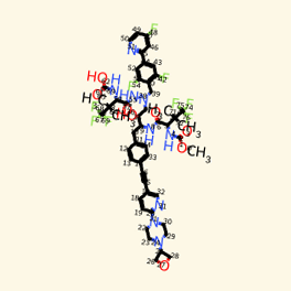 COC(=O)NC(C(=O)NC(Cc1ccc(C#Cc2ccc(N3CCN(C4COC4)CC3)nc2)cc1)C(O)CN(Cc1c(F)cc(-c2cc(F)ccn2)cc1F)NC(=O)C(NC(=O)O)C(C)(C)C(F)(F)F)C(C)(C)C(F)(F)F